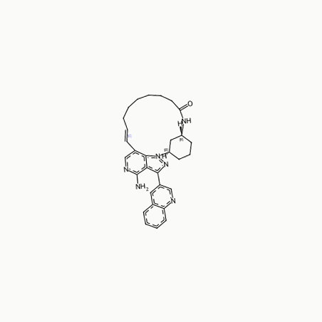 Nc1ncc2c3c1c(-c1cnc4ccccc4c1)nn3[C@@H]1CCC[C@H](C1)NC(=O)CCCCCC/C=C/2